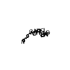 COc1nc2c(OCc3c(Cl)ccc(N(C)C(=O)CNC(=O)C=Cc4ccc(/C=C/c5ccncc5)cc4)c3Cl)cccc2n1C